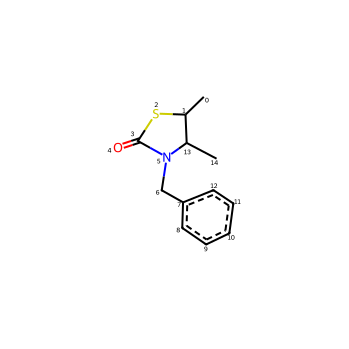 CC1SC(=O)N(Cc2ccccc2)C1C